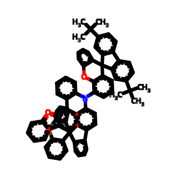 CC(C)(C)c1ccc2c(c1)C1(c3ccccc3Oc3c(N(c4ccc5c(c4)C4(c6ccccc6Sc6ccccc64)c4ccccc4-5)c4ccccc4-c4cccc5c4oc4ccccc45)cccc31)c1cc(C(C)(C)C)ccc1-2